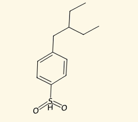 CCC(CC)Cc1ccc([SH](=O)=O)cc1